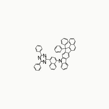 c1ccc(-c2nc(-c3ccccc3)nc(-c3ccc(-n4c5ccccc5c5cc6c(cc54)C(c4ccccc4)(c4ccccc4)c4c-6ccc5ccccc45)c4ccccc34)n2)cc1